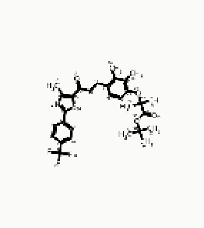 Cc1nc(-c2ccc(C(F)(F)F)cc2)sc1C(=O)CCc1ccc(OC(C)(C)C(=O)OC(C)(C)C)c(C)c1C